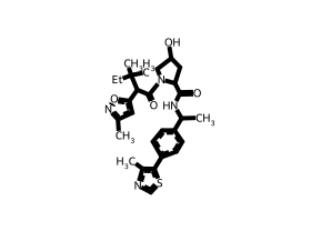 CCC(C)(C)C(C(=O)N1CC(O)CC1C(=O)NC(C)c1ccc(-c2scnc2C)cc1)c1cc(C)no1